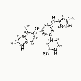 CCC1CN(c2cc(Nc3cc(C)[nH]n3)nc(Oc3ccc4[nH]c(C)cc4c3F)n2)CCN1